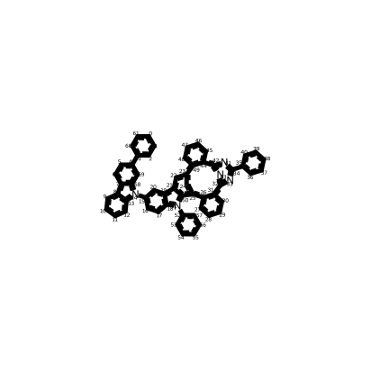 c1ccc(-c2ccc3c4ccccc4n(-c4ccc5c(c4)c4cc6cc(c7ccccc7c7nc(-c8ccccc8)nc(n7)c7ccccc67)c4n5-c4ccccc4)c3c2)cc1